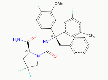 COc1cc([C@@](Cc2ccccc2)(NC(=O)N2CC(F)(F)C[C@H]2C(N)=O)c2cc(F)cc(C(F)(F)F)c2)ccc1F